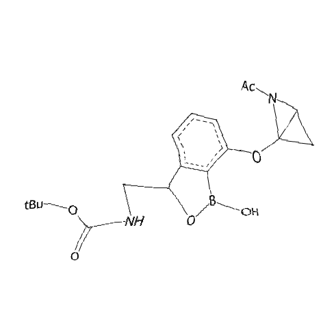 CC(=O)N1C2CC21Oc1cccc2c1B(O)OC2CNC(=O)OC(C)(C)C